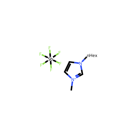 CCCCCCn1cc[n+](C)c1.[F][Sb-]([F])([F])([F])([F])[F]